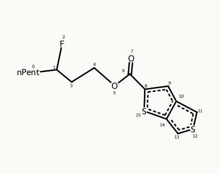 CCCCCC(F)CCOC(=O)c1cc2cscc2s1